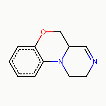 C1=NCCN2c3ccccc3OCC12